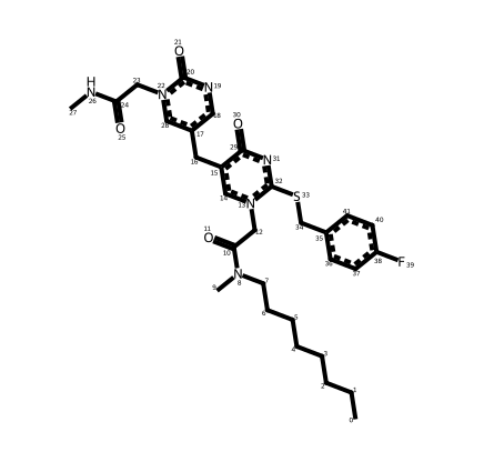 CCCCCCCCN(C)C(=O)Cn1cc(Cc2cnc(=O)n(CC(=O)NC)c2)c(=O)nc1SCc1ccc(F)cc1